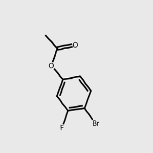 CC(=O)Oc1ccc(Br)c(F)c1